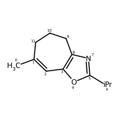 CC1=Cc2oc(C(C)C)nc2CCC1